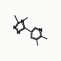 Cc1cc(-c2nnc(C)n2C)cnc1C